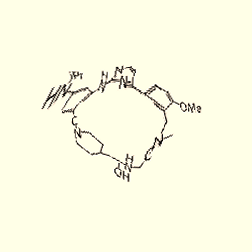 COc1ccc2cc1CN(C)CCNC(O)C1CCN(CC1)Cc1cc(cc(NC(C)C)c1)Nc1nccc-2n1